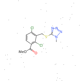 COC(=O)c1ccc(Cl)c(CSc2nnnn2C)c1Cl